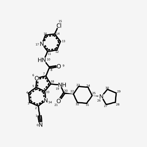 N#Cc1ccc2oc(C(=O)Nc3ccc(Cl)cn3)c(NC(=O)[C@H]3CC[C@H](N4CCCC4)CC3)c2n1